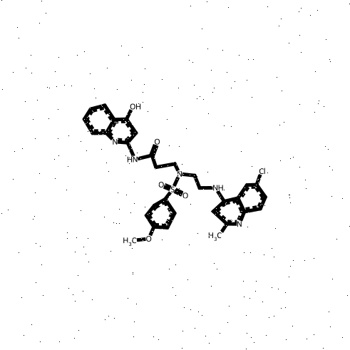 COc1ccc(S(=O)(=O)N(CCNc2cc(C)nc3ccc(Cl)cc23)CCC(=O)Nc2cc(O)c3ccccc3n2)cc1